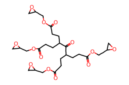 O=C(CCC(CCC(=O)OCC1CO1)C(=O)C(CCC(=O)OCC1CO1)CCC(=O)OCC1CO1)OCC1CO1